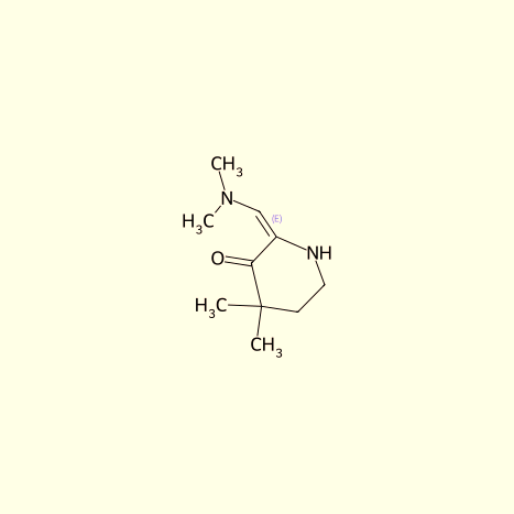 CN(C)/C=C1/NCCC(C)(C)C1=O